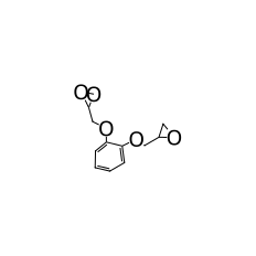 c1ccc(OCC2OO2)c(OCC2CO2)c1